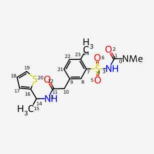 CNC(=O)NS(=O)(=O)c1cc(CC(=O)NC(C)c2cccs2)ccc1C